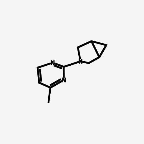 Cc1ccnc(N2CC3CC3C2)n1